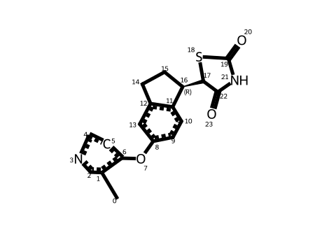 Cc1cnccc1Oc1ccc2c(c1)CC[C@H]2C1SC(=O)NC1=O